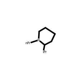 CCCN1CCCCC1C(C)C